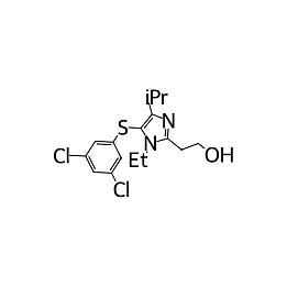 CCn1c(CCO)nc(C(C)C)c1Sc1cc(Cl)cc(Cl)c1